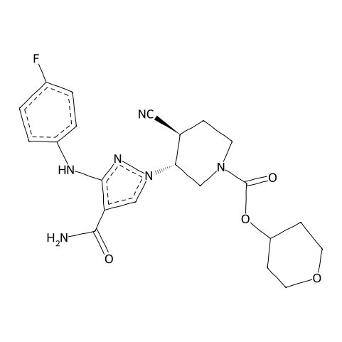 N#C[C@H]1CCN(C(=O)OC2CCOCC2)C[C@@H]1n1cc(C(N)=O)c(Nc2ccc(F)cc2)n1